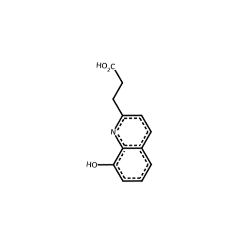 O=C(O)CCc1ccc2cccc(O)c2n1